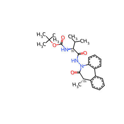 CC(C)[C@H](NC(=O)OC(C)(C)C)C(=O)NN1C(=O)[C@@H](C)c2ccccc2-c2ccccc21